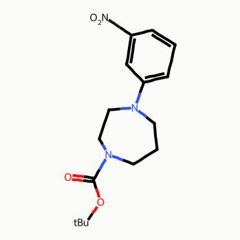 CC(C)(C)OC(=O)N1CCCN(c2cccc([N+](=O)[O-])c2)CC1